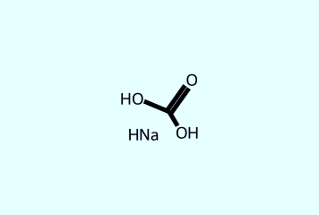 O=C(O)O.[NaH]